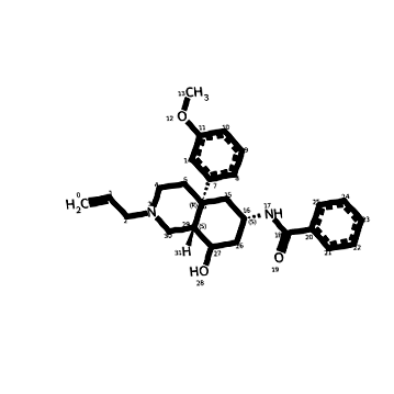 C=CCN1CC[C@@]2(c3cccc(OC)c3)C[C@H](NC(=O)c3ccccc3)CC(O)[C@@H]2C1